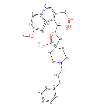 COc1ccc2ncc(CO)c(C(O)CCC3(C(=O)O)CCN(CCCc4ccccc4)CC3)c2c1